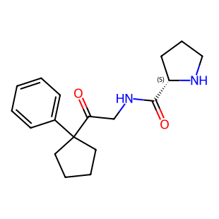 O=C(NCC(=O)C1(c2ccccc2)CCCC1)[C@@H]1CCCN1